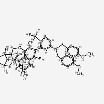 COc1ccc(CN(Cc2ccc(OC)cc2)c2ccc(C(F)(F)F)c(-c3c(Cl)c4c5c(nc(Cl)nc5c3F)N3C[C@H]5CC[C@@H]([C@H]3CO4)N5C(=O)OC(C)(C)C)n2)cc1